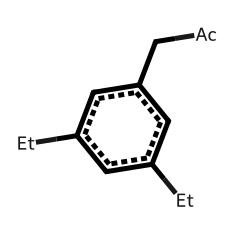 CCc1cc(CC)cc(CC(C)=O)c1